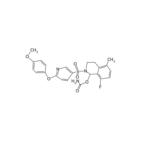 COc1ccc(Oc2ccc(S(=O)(=O)N3CCc4c(C)ccc(F)c4C3OC(N)=O)cn2)cc1